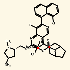 CN1C[C@H](N)C[C@H]1COc1nc(N2CC3CCC(C2)N3C(=O)OC(C)(C)C)c2cnc(-c3cccc4cccc(Cl)c34)c(F)c2n1